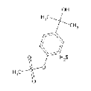 CC(C)(O)c1ccc(OS(C)(=O)=O)cc1.S